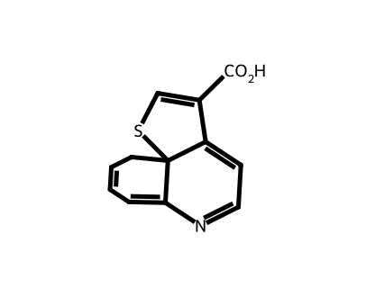 O=C(O)C1=CSC23CC=CC=C2N=CC=C13